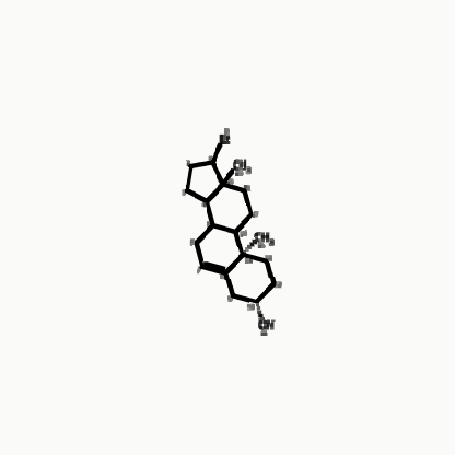 CCC1CCC2C3CC=C4C[C@@H](O)CC[C@]4(C)C3CCC12C